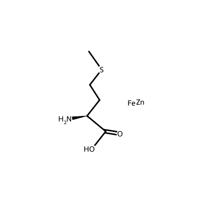 CSCC[C@H](N)C(=O)O.[Fe].[Zn]